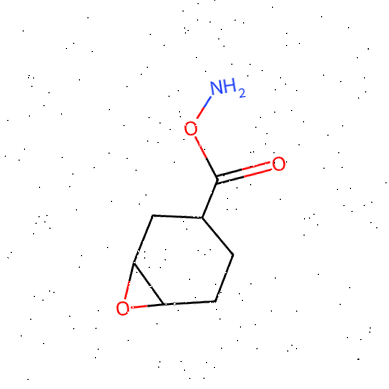 NOC(=O)C1CCC2OC2C1